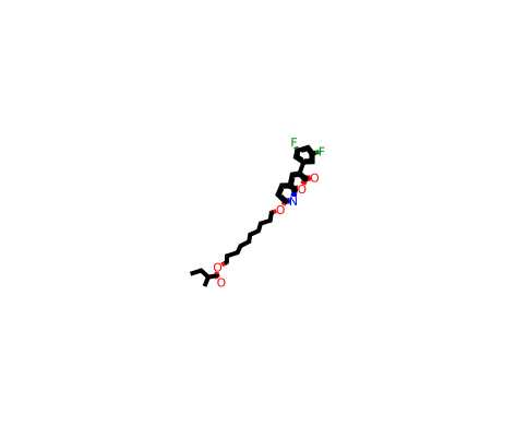 CCC(C)C(=O)OCCCCCCCCCCOc1ccc2cc(-c3cc(F)cc(F)c3)c(=O)oc2n1